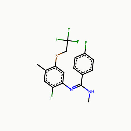 CN/C(=N/c1cc(SCC(F)(F)F)c(C)cc1F)c1ccc(F)cc1